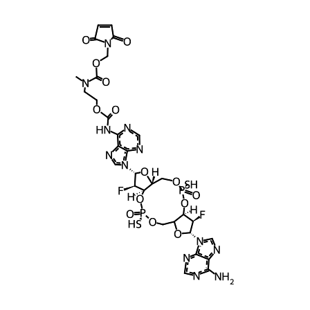 CN(CCOC(=O)Nc1ncnc2c1ncn2[C@@H]1O[C@@H]2CO[P@@](=O)(S)O[C@@H]3C(CO[P@@](=O)(S)O[C@H]2[C@H]1F)O[C@@H](n1cnc2c(N)ncnc21)[C@@H]3F)C(=O)OCN1C(=O)C=CC1=O